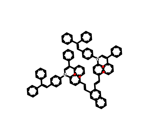 C(=C(c1ccccc1)c1ccccc1)c1ccc(N(C=C(c2ccccc2)c2ccccc2)c2ccc(/C=C/c3cc4ccccc4cc3/C=C/c3ccc(N(C=C(c4ccccc4)c4ccccc4)c4ccc(C=C(c5ccccc5)c5ccccc5)cc4)cc3)cc2)cc1